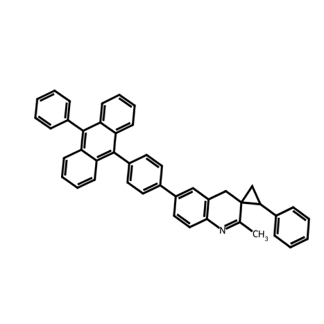 CC1=Nc2ccc(-c3ccc(-c4c5ccccc5c(-c5ccccc5)c5ccccc45)cc3)cc2CC12CC2c1ccccc1